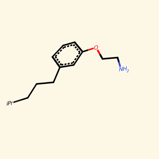 CC(C)CCCc1cccc(OCCN)c1